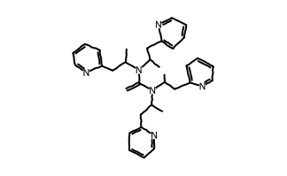 C=C(N(C(C)Cc1ccccn1)C(C)Cc1ccccn1)N(C(C)Cc1ccccn1)C(C)Cc1ccccn1